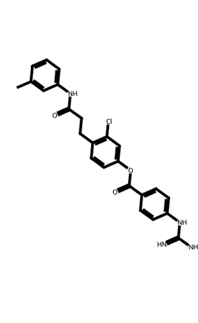 Cc1cccc(NC(=O)CCc2ccc(OC(=O)c3ccc(NC(=N)N)cc3)cc2Cl)c1